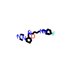 CN1CCN(c2ccccc2CN(C)C(=O)CCCNCc2ccc(F)cc2)CC1